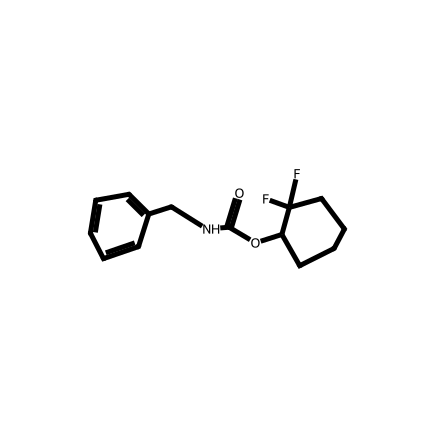 O=C(NCc1ccccc1)OC1CCCCC1(F)F